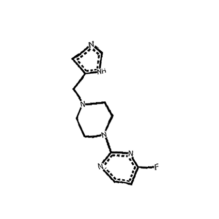 Fc1ccnc(N2CCN(Cc3cnc[nH]3)CC2)n1